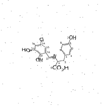 O=C(O)C(Cc1ccc(O)cc1)N=Cc1cc(Cl)cc(O)c1O